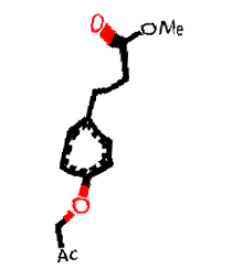 COC(=O)CCc1ccc(OCC(C)=O)cc1